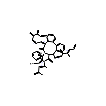 C=C/C=C(\C)C(=C)/C=C\C1c2ccccc2-c2ccccc2/C(=C/C=C\C(=C)C(=C)C=C)C(=C)N(C(=C)/C=C\CCC)C1C(=C)N(/C(C)=C/C(=C)O)c1ccccn1